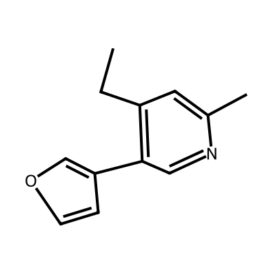 CCc1cc(C)ncc1-c1ccoc1